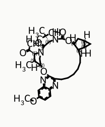 COc1ccc2nc3c(nc2c1)O[C@H]1CN(C(=O)[C@H](C(C)(C)C)NC(=O)O[C@@H]2C[C@H]4C[C@H]4[C@H]2CCCCCC3)[C@H](C(C)=O)[C@@H]1C